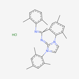 C/C(N=c1n(-c2c(C)cc(C)cc2C)ccn1-c1c(C)cc(C)cc1C)=N\c1c(C)cccc1C.Cl